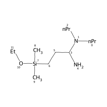 CCCN(CCC)C(N)CC[Si](C)(C)OCC